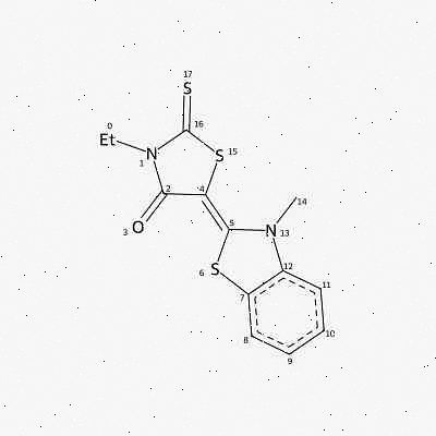 CCN1C(=O)/C(=C2\Sc3ccccc3N2C)SC1=S